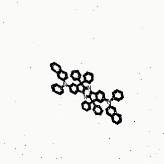 c1ccc(N(c2ccc3c(c2)C(c2ccccc2)(c2ccccc2)c2nc4c(nc2-3)C(c2ccccc2)(c2ccccc2)c2cc(N(c3ccccc3)c3ccc5ccccc5c3)ccc2-4)c2ccc3ccccc3c2)cc1